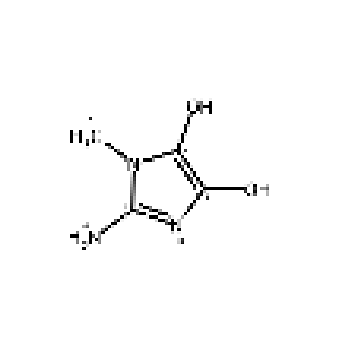 Cn1c(N)nc(O)c1O